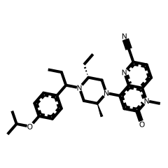 CCC(c1ccc(OC(C)C)cc1)N1C[C@H](C)N(c2cc(=O)n(C)c3ccc(C#N)nc23)C[C@H]1CC